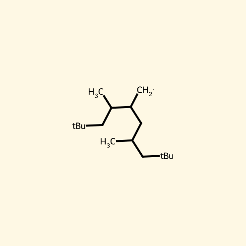 [CH2]C(CC(C)CC(C)(C)C)C(C)CC(C)(C)C